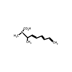 C=CC=CC=CC(C)N(C)C(=O)O